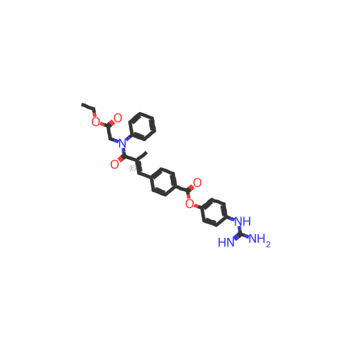 CCOC(=O)CN(C(=O)/C(C)=C/c1ccc(C(=O)Oc2ccc(NC(=N)N)cc2)cc1)c1ccccc1